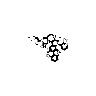 C=CC(=O)N1CC2CCOc3c(c4cc(F)c(-c5c(O)cccc5F)c(F)c4n(-c4c(C)ccnc4C(C)C)c3=O)N2CC1C